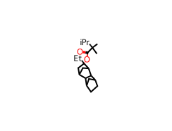 CCC1(OC(=O)C(C)(C)C(C)C)CC2CC1C1C3CCC(C3)C21